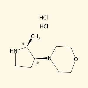 C[C@@H]1NCC[C@@H]1N1CCOCC1.Cl.Cl